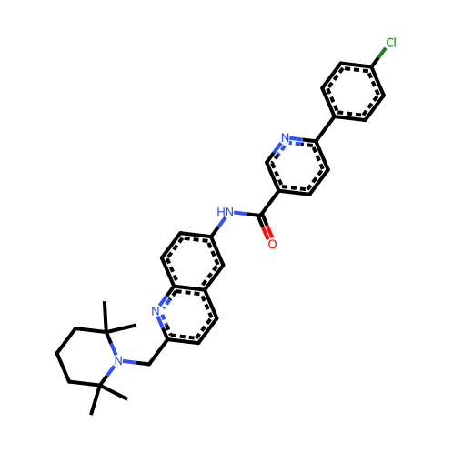 CC1(C)CCCC(C)(C)N1Cc1ccc2cc(NC(=O)c3ccc(-c4ccc(Cl)cc4)nc3)ccc2n1